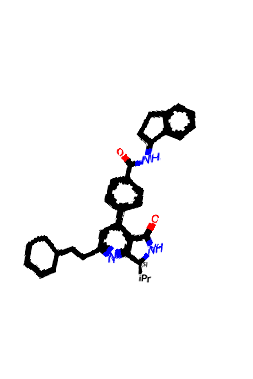 CC(C)[C@@H]1NC(=O)c2c(-c3ccc(C(=O)NC4CCc5ccccc54)cc3)cc(CCC3CCCCC3)nc21